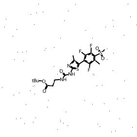 Cc1nc(NC(=O)NCCC(=O)OC(C)(C)C)sc1-c1c(F)c(C)c(S(C)(=O)=O)c(F)c1F